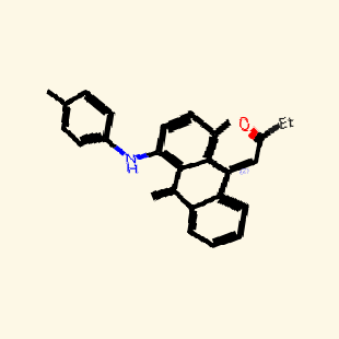 C=c1c2ccccc2/c(=C/C(=O)CC)c2c(C)ccc(Nc3ccc(C)cc3)c12